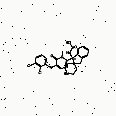 Cn1c([C@]2(NC(=O)O)c3ccccc3CC23CCNCC3)ncc(Sc2cccc(Cl)c2Cl)c1=O